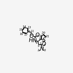 CN(C)C(=O)CC(NC(=O)OCc1ccccc1)c1cccs1